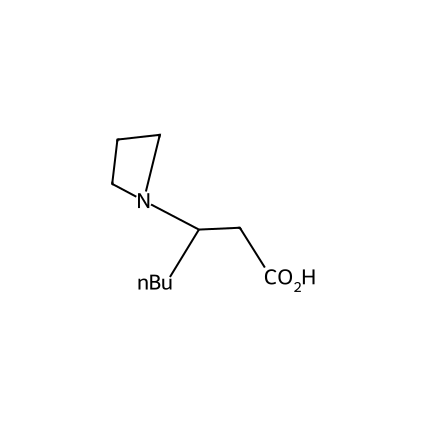 CCCCC(CC(=O)O)N1CCC1